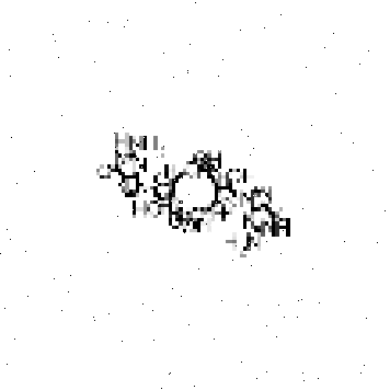 NC1=NC2C(N=CN2[C@@H]2O[C@@H]3COP(=O)(O)O[C@H]4[C@@H](O)[C@H](N5C=NC6C(=O)NC(N)=NC65)O[C@@H]4COP(=O)(O)C[C@H]3[C@H]2O)C(=O)N1